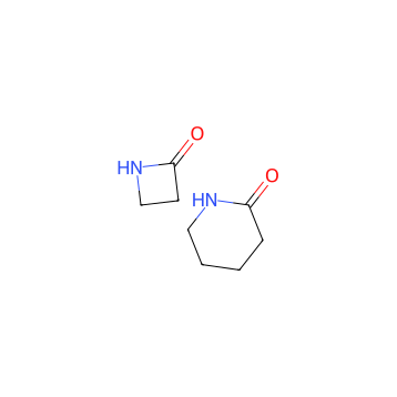 O=C1CCCCN1.O=C1CCN1